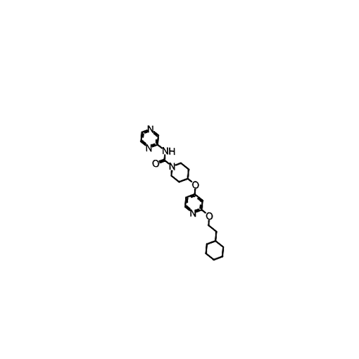 O=C(Nc1cnccn1)N1CCC(Oc2ccnc(OCCC3CCCCC3)c2)CC1